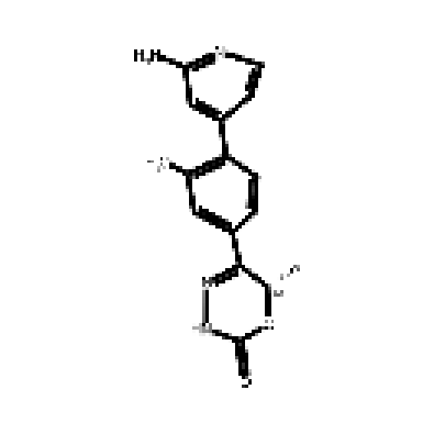 C[C@@H]1OC(=O)NN=C1c1ccc(-c2ccnc(N)c2)c(C(F)(F)F)c1